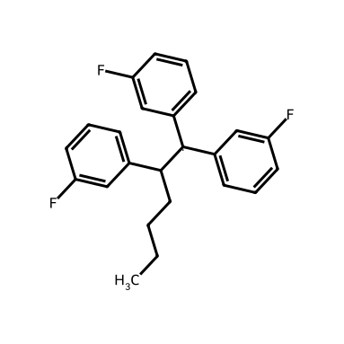 CCCCC([C](c1cccc(F)c1)c1cccc(F)c1)c1cccc(F)c1